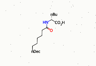 CCCCCCCCCCCCCCCC(=O)N[C@H](CCCC)C(=O)O